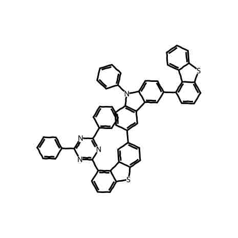 c1ccc(-c2nc(-c3ccccc3)nc(-c3cccc4sc5ccc(-c6ccc7c(c6)c6cc(-c8cccc9sc%10ccccc%10c89)ccc6n7-c6ccccc6)cc5c34)n2)cc1